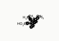 CN(C)c1ccc(C(=O)Nc2cc(-c3ccc4ccccc4c3C(O)C=Cc3ccc(C(=O)O)cc3)cc3ccc4c(c23)C(C)(C)CC2=C4C=CC(C)(C)C2)cc1